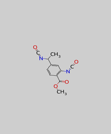 COC(=O)c1ccc(C(C)N=C=O)cc1N=C=O